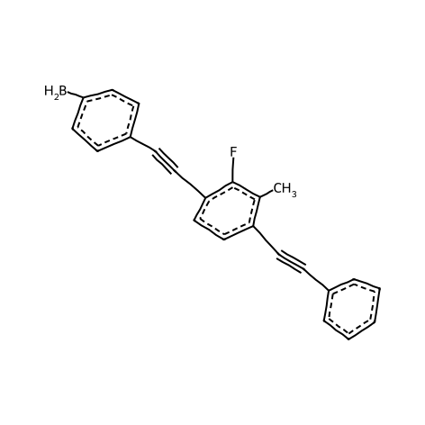 Bc1ccc(C#Cc2ccc(C#Cc3ccccc3)c(C)c2F)cc1